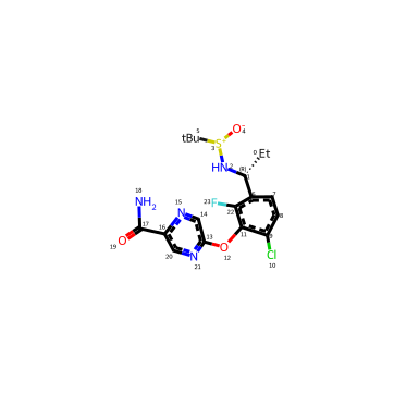 CC[C@@H](N[S+]([O-])C(C)(C)C)c1ccc(Cl)c(Oc2cnc(C(N)=O)cn2)c1F